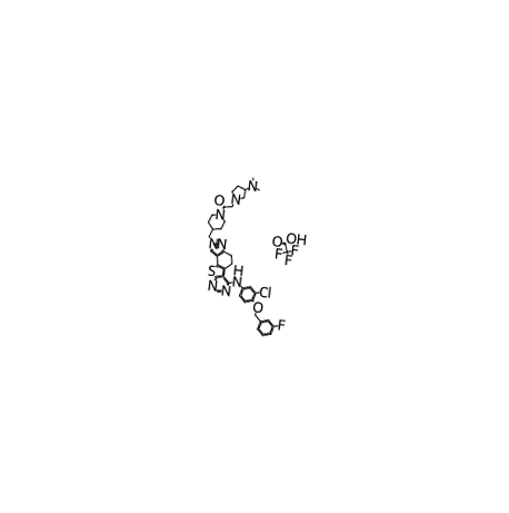 CN(C)[C@@H]1CCN(CC(=O)N2CCC(Cn3cc4c(n3)CCc3c-4sc4ncnc(Nc5ccc(OCc6cccc(F)c6)c(Cl)c5)c34)CC2)C1.O=C(O)C(F)(F)F